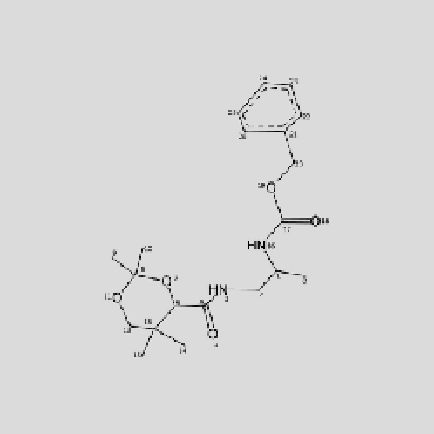 CC(CNC(=O)C1OC(C)(C)OCC1(C)C)NC(=O)OCc1ccccc1